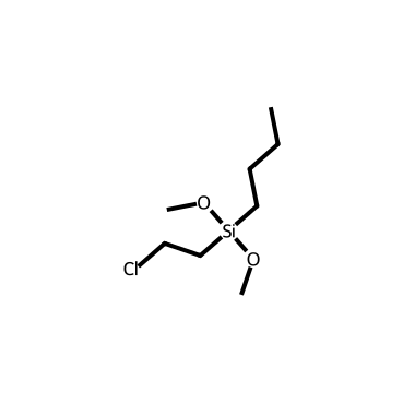 CCCC[Si](CCCl)(OC)OC